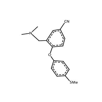 CSc1ccc(Oc2ccc(C#N)cc2CN(C)C)cc1